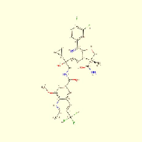 COc1cc(C(=O)NCC(O)(c2cc3c(c(-c4ccc(F)c(Cl)c4)n2)OC[C@]3(C)C(N)=O)C2CC2)cc2cc(C(F)(F)F)c(C)nc12